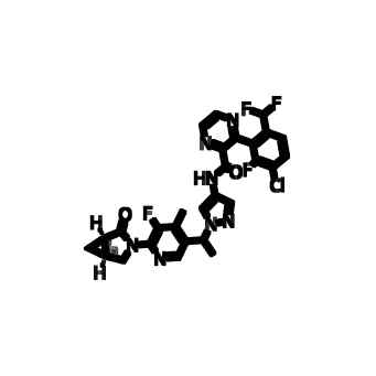 Cc1c(C(C)n2cc(NC(=O)c3nccnc3-c3c(C(F)F)ccc(Cl)c3F)cn2)cnc(N2C[C@H]3C[C@H]3C2=O)c1F